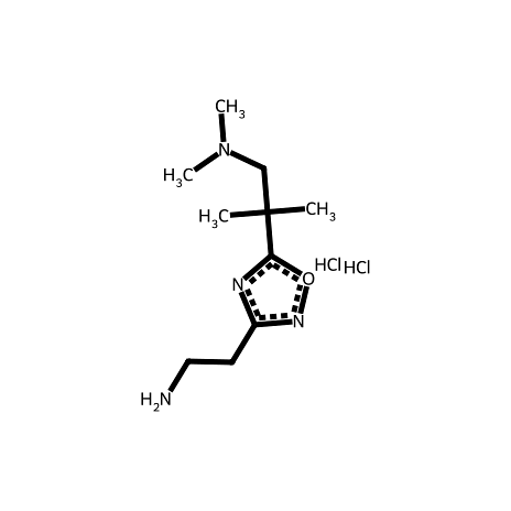 CN(C)CC(C)(C)c1nc(CCN)no1.Cl.Cl